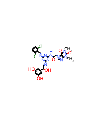 Cn1c(=O)c2c(ncn2CC(=O)Nc2nc(N=Cc3c(Cl)cccc3Cl)nc(N=CC(O)c3cc(O)cc(O)c3)n2)n(C)c1=O